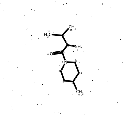 CC1CCN(C(=O)C(N)C(C)C)CC1